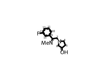 CNC(CN1CCC(O)C1)c1cccc(F)c1